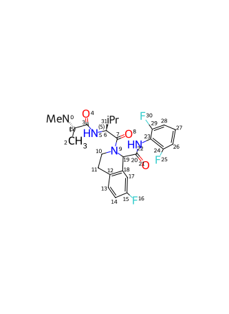 CN[C@@H](C)C(=O)N[C@H](C(=O)N1CCc2ccc(F)cc2C1C(=O)Nc1c(F)cccc1F)C(C)C